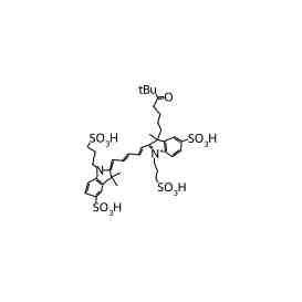 CC(C)(C)C(=O)CCCCC1(C)C(/C=C/C=C/C=C2/N(CCCS(=O)(=O)O)c3ccc(S(=O)(=O)O)cc3C2(C)C)=[N+](CCCS(=O)(=O)O)c2ccc(S(=O)(=O)O)cc21